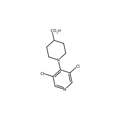 O=C(O)C1CCN(c2c(Cl)cncc2Cl)CC1